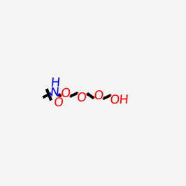 CC(C)(C)NC(=O)OCCOCCOCCO